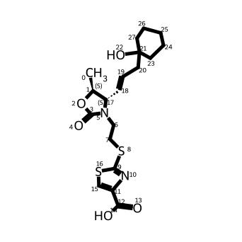 C[C@@H]1OC(=O)N(CCSc2nc(C(=O)O)cs2)[C@H]1C=CCC1(O)CCCCC1